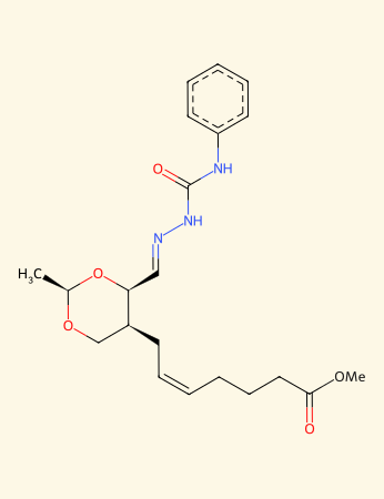 COC(=O)CCC/C=C\C[C@H]1CO[C@@H](C)O[C@H]1C=NNC(=O)Nc1ccccc1